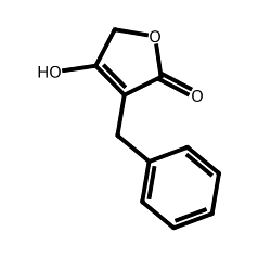 O=C1OCC(O)=C1Cc1ccccc1